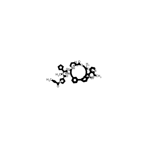 CC#CC(=O)N1CC[C@H](C(=O)N(C)[C@H](C(=O)N[C@H]2Cc3cccc(c3)-c3ccc4c(c3)c(c(-c3cccnc3[C@H](C)OC)n4CC)CC(C)(C)COC(=O)[C@@H]3CCCN(N3)C2=O)C2CCCC2)C1